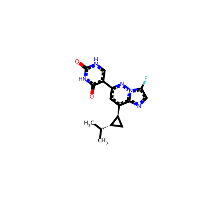 CC(C)[C@H]1C[C@@H]1c1cc(-c2c[nH]c(=O)[nH]c2=O)nn2c(F)cnc12